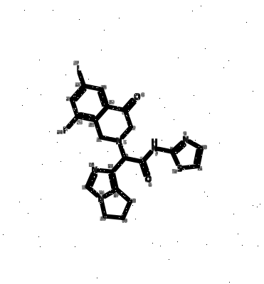 O=C1CN(C(C(=O)Nc2nccs2)c2ncn3c2CCC3)Cc2c(F)cc(I)cc21